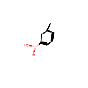 CC1C=CC=C(B(O)O)C1